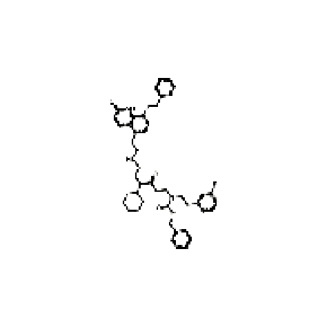 O=C(OCc1ccccc1)N(CCC(=O)N(CCNCCc1ccc(OCc2ccccc2)c2[nH]c(=O)ccc12)C1CCCCC1)CCc1cccc(F)c1